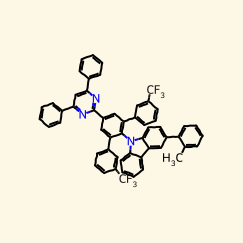 Cc1ccccc1-c1ccc2c(c1)c1ccccc1n2-c1c(-c2cccc(C(F)(F)F)c2)cc(-c2nc(-c3ccccc3)cc(-c3ccccc3)n2)cc1-c1cccc(C(F)(F)F)c1